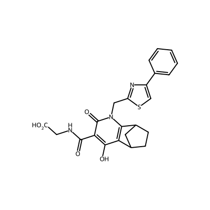 O=C(O)CNC(=O)c1c(O)c2c(n(Cc3nc(-c4ccccc4)cs3)c1=O)C1CCC2C1